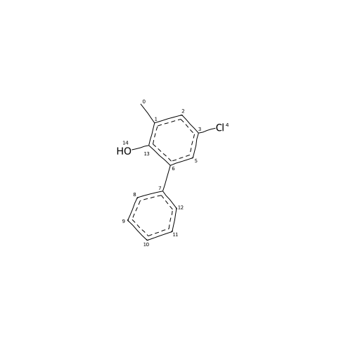 Cc1cc(Cl)cc(-c2ccccc2)c1O